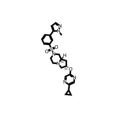 Cn1nccc1-c1cccc(S(=O)(=O)N2CCN3C[C@@H](Oc4cnc(C5CC5)cn4)C[C@H]3C2)c1